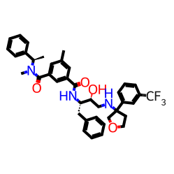 Cc1cc(C(=O)N[C@@H](Cc2ccccc2)[C@H](O)CNC2(c3cccc(C(F)(F)F)c3)CCOC2)cc(C(=O)N(C)[C@H](C)c2ccccc2)c1